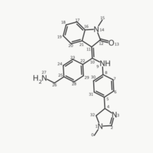 CN1C=NC(c2ccc(N/C(=C3\C(=O)N(C)c4ccccc43)c3ccc(CN)cc3)cc2)C1